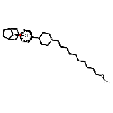 COCCCCCCCCCCN1CCC(c2cnc(N3C4CCC3CN(C)C4)nc2)CC1